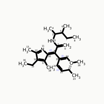 C=C(NC(C)C(C)CC)C(=C1\N=C(C)C(CC)=C1C)/C(/C=C\CC)=C/OC